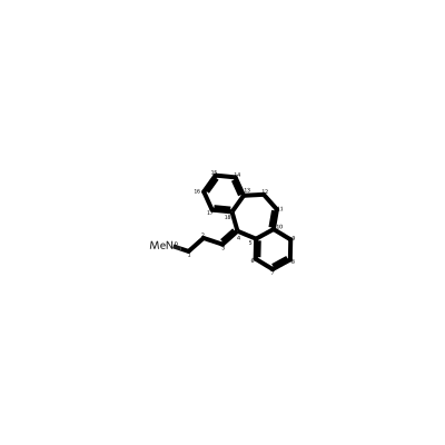 CNCCC=C1C2=CC=CCC2=CCc2ccccc21